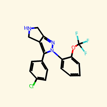 FC(F)(F)Oc1ccccc1-n1nc2c(c1-c1ccc(Cl)cc1)CNC2